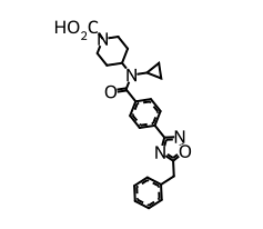 O=C(O)N1CCC(N(C(=O)c2ccc(-c3noc(Cc4ccccc4)n3)cc2)C2CC2)CC1